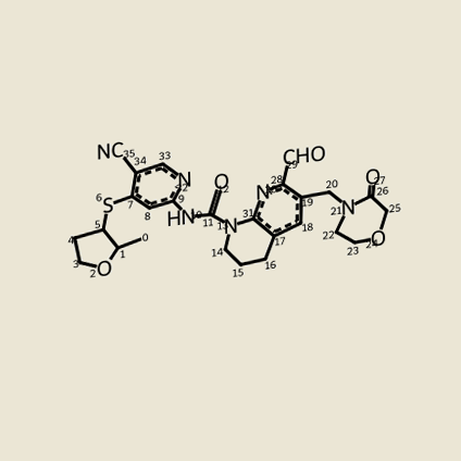 CC1OCCC1Sc1cc(NC(=O)N2CCCc3cc(CN4CCOCC4=O)c(C=O)nc32)ncc1C#N